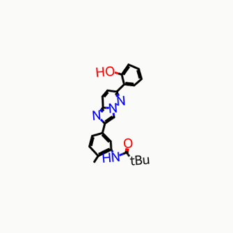 Cc1ccc(-c2cn3nc(-c4ccccc4O)ccc3n2)cc1NC(=O)C(C)(C)C